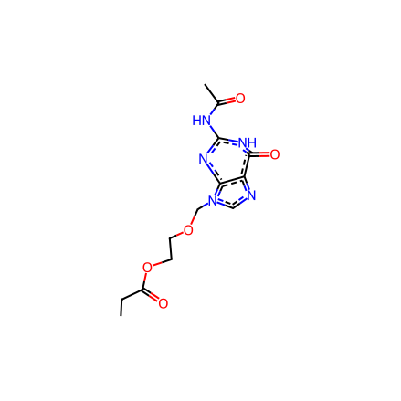 CCC(=O)OCCOCn1cnc2c(=O)[nH]c(NC(C)=O)nc21